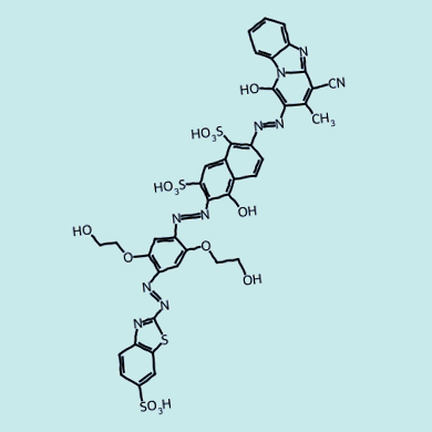 Cc1c(N=Nc2ccc3c(O)c(N=Nc4cc(OCCO)c(N=Nc5nc6ccc(S(=O)(=O)O)cc6s5)cc4OCCO)c(S(=O)(=O)O)cc3c2S(=O)(=O)O)c(O)n2c(nc3ccccc32)c1C#N